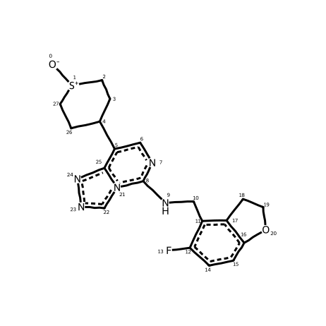 [O-][S+]1CCC(c2cnc(NCc3c(F)ccc4c3CCO4)n3cnnc23)CC1